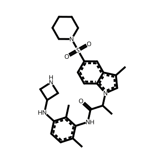 Cc1ccc(NC2CNC2)c(C)c1NC(=O)C(C)n1cc(C)c2cc(S(=O)(=O)N3CCCCC3)ccc21